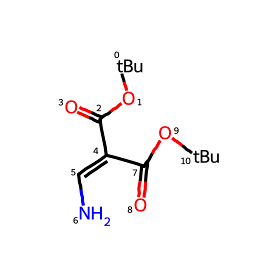 CC(C)(C)OC(=O)C(=CN)C(=O)OC(C)(C)C